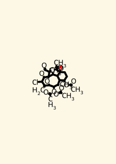 C=C1C(Cl)C2OC(=O)C(C)C23OC1C(OC(C)=O)C(OC(C)=O)C1(C)C(OC(C)=O)CCC2(CO2)C1C3OC(C)=O